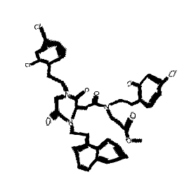 COC(=O)CN(CCc1ccc(Cl)cc1Cl)C(=O)CC1C(=O)N(CCc2ccc(Cl)cc2Cl)CC(=O)N1CCc1cccc2ccccc12